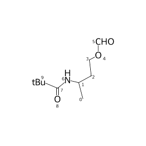 CC(CCOC=O)NC(=O)C(C)(C)C